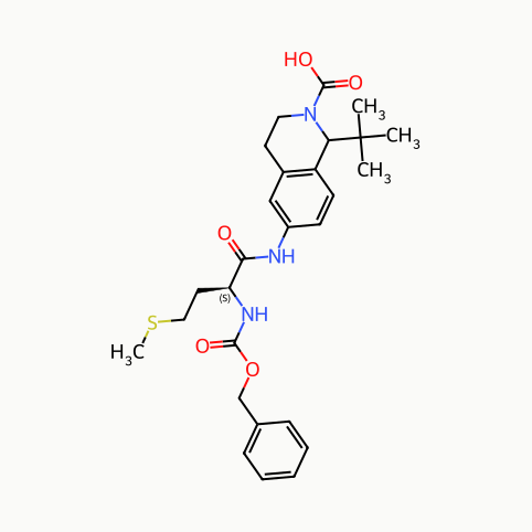 CSCC[C@H](NC(=O)OCc1ccccc1)C(=O)Nc1ccc2c(c1)CCN(C(=O)O)C2C(C)(C)C